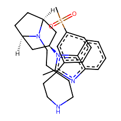 Cc1nc2ccccc2n1[C@H]1C[C@H]2CC[C@@H](C1)N2CCC1(c2cccc(S(C)(=O)=O)c2)CCNCC1